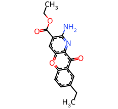 CCOC(=O)c1cc2oc3ccc(CC)cc3c(=O)c2nc1N